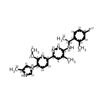 COc1nc(-c2cc(C)c(N[C@@H](C)c3ccc(F)cc3C)nn2)ccc1-n1cnc(C)c1